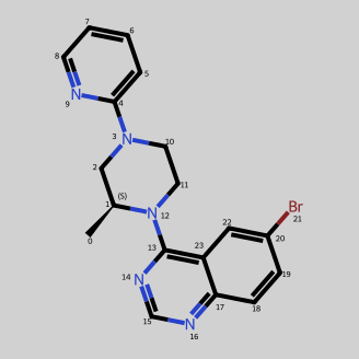 C[C@H]1CN(c2ccccn2)CCN1c1ncnc2ccc(Br)cc12